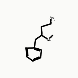 CNC(CCN)Cc1ccccc1